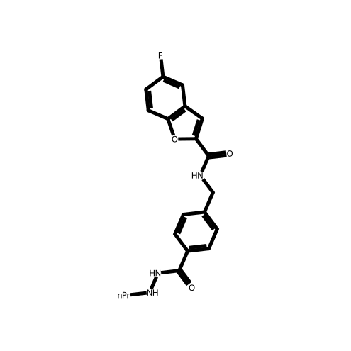 CCCNNC(=O)c1ccc(CNC(=O)c2cc3cc(F)ccc3o2)cc1